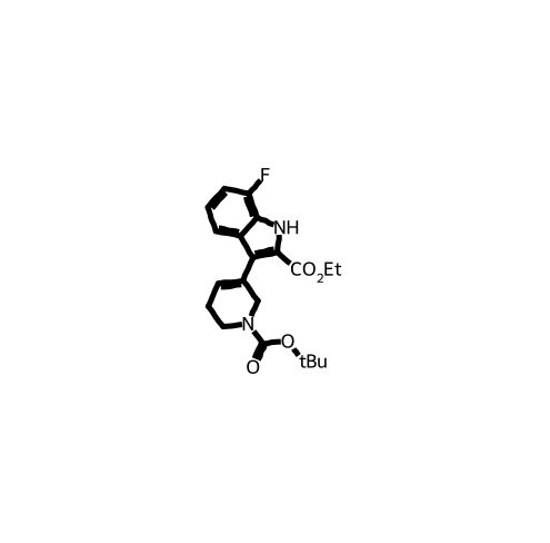 CCOC(=O)c1[nH]c2c(F)cccc2c1C1=CCCN(C(=O)OC(C)(C)C)C1